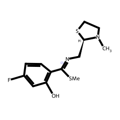 CS/C(=N\C[C@H]1SCCN1C)c1ccc(F)cc1O